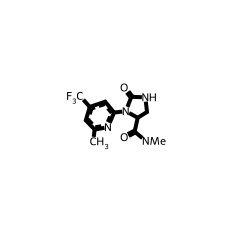 CNC(=O)C1CNC(=O)N1c1cc(C(F)(F)F)cc(C)n1